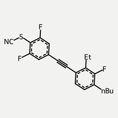 CCCCc1ccc(C#Cc2cc(F)c(SC#N)c(F)c2)c(CC)c1F